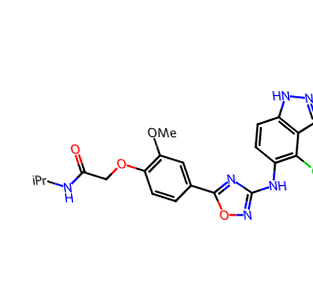 COc1cc(-c2nc(Nc3ccc4[nH]ncc4c3Cl)no2)ccc1OCC(=O)NC(C)C